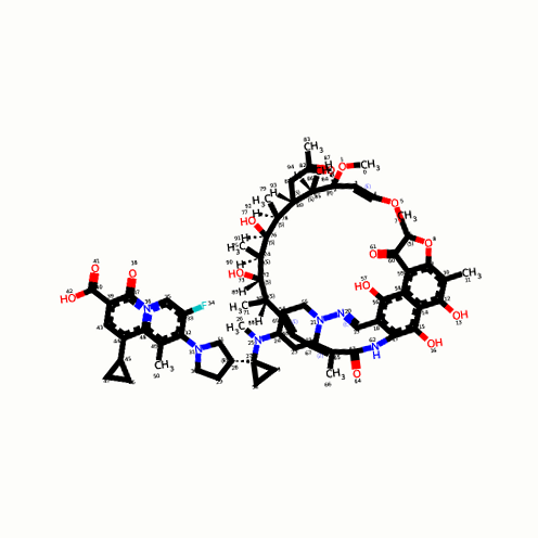 CO[C@H]1/C=C/O[C@@]2(C)Oc3c(C)c(O)c4c(O)c(c(/C=N/N5CCC(N(C)C6([C@@H]7CCN(c8c(F)cn9c(=O)c(C(=O)O)cc(C%10CC%10)c9c8C)C7)CC6)CC5)c(O)c4c3C2=O)NC(=O)/C(C)=C\C=C\[C@H](C)[C@H](O)[C@@H](C)[C@@H](O)[C@@H](C)[C@H](CC(C)=O)[C@@H]1C